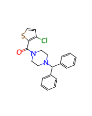 O=C(c1sccc1Cl)N1CCN(C(c2ccccc2)c2ccccc2)CC1